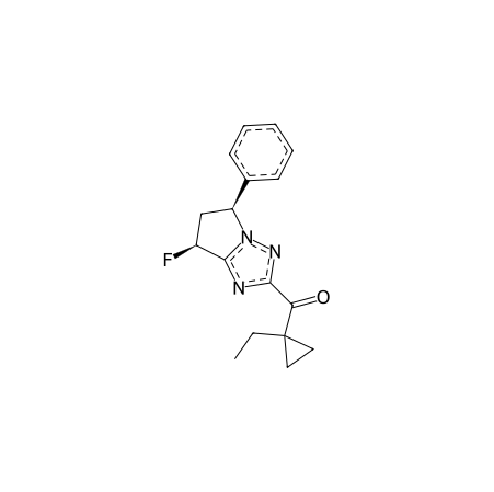 CCC1(C(=O)c2nc3n(n2)[C@H](c2ccccc2)C[C@@H]3F)CC1